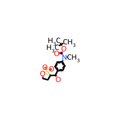 CN(C(=O)OC(C)(C)C)c1ccc(C(=O)C2CCOS2(=O)=O)cc1